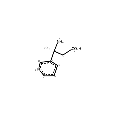 C[C@](N)(CC(=O)O)c1cccnc1